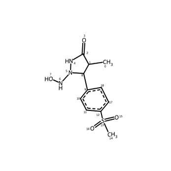 CC1C(=O)NN(NO)C1c1ccc(S(C)(=O)=O)cc1